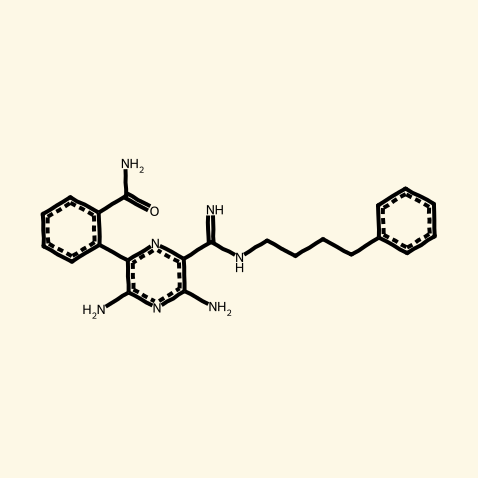 N=C(NCCCCc1ccccc1)c1nc(-c2ccccc2C(N)=O)c(N)nc1N